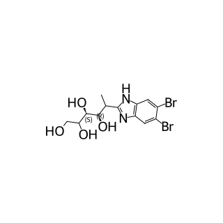 CC(c1nc2cc(Br)c(Br)cc2[nH]1)[C@@H](O)[C@H](O)C(O)CO